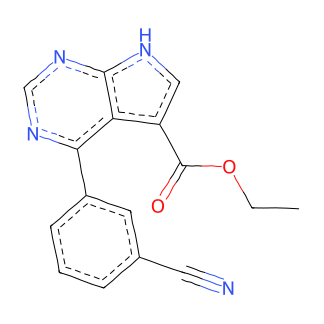 CCOC(=O)c1c[nH]c2ncnc(-c3cccc(C#N)c3)c12